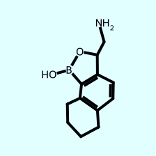 NCC1OB(O)c2c1ccc1c2CCCC1